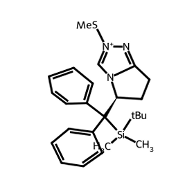 CS[n+]1cn2c(n1)CC[C@H]2C(c1ccccc1)(c1ccccc1)[Si](C)(C)C(C)(C)C